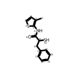 Cc1ccsc1NC(=O)C(S)Cc1ccccc1